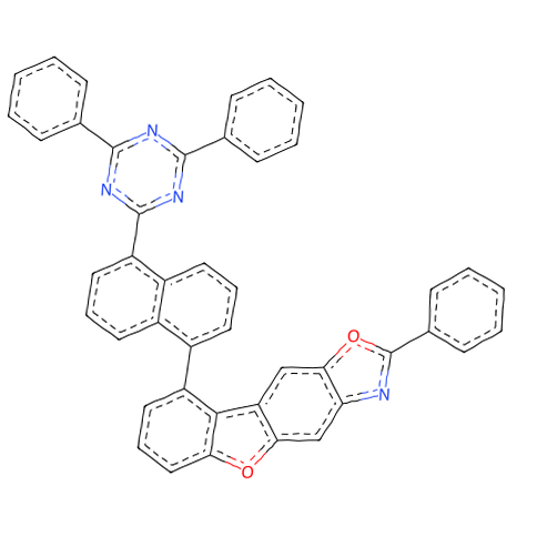 c1ccc(-c2nc(-c3ccccc3)nc(-c3cccc4c(-c5cccc6oc7cc8nc(-c9ccccc9)oc8cc7c56)cccc34)n2)cc1